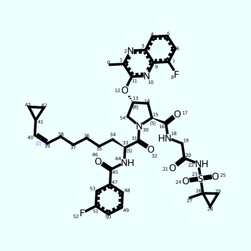 Cc1nc2cccc(F)c2nc1O[C@@H]1C[C@@H](C(=O)NCC(=O)NS(=O)(=O)C2(C)CC2)N(C(=O)[C@H](CCCCC/C=C\C2CC2)NC(=O)c2cccc(F)c2)C1